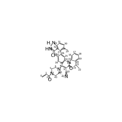 C=CC(=O)N1CCN(c2c(C#N)c(=O)n(-c3ccccc3C(C)C)c3cc(-c4c(C)ccc(N)c4C=N)c(Cl)cc23)[C@H](C)C1